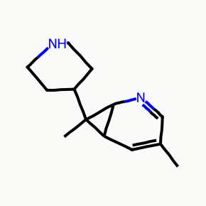 CC1=CC2C(N=C1)C2(C)C1CCNCC1